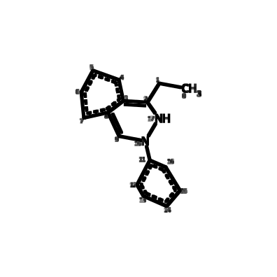 CCC1=c2ccccc2=CN(c2ccccc2)N1